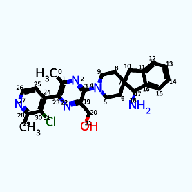 Cc1nc(N2CCC3(CC2)Cc2ccccc2[C@H]3N)c(CO)nc1-c1ccnc(C)c1Cl